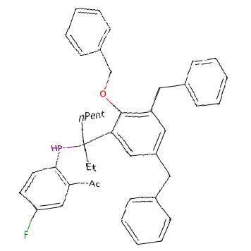 CCCCCC(CC)(Pc1ccc(F)cc1C(C)=O)c1cc(Cc2ccccc2)cc(Cc2ccccc2)c1OCc1ccccc1